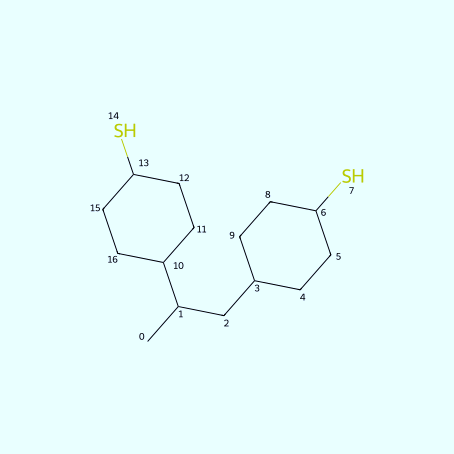 CC(CC1CCC(S)CC1)C1CCC(S)CC1